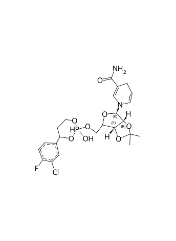 CC1(C)O[C@@H]2[C@H](O1)C(CO[PH]1(O)OCCC(c3ccc(F)c(Cl)c3)O1)O[C@H]2N1C=CCC(C(N)=O)=C1